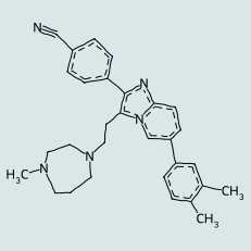 Cc1ccc(-c2ccc3nc(-c4ccc(C#N)cc4)c(CCN4CCCN(C)CC4)n3c2)cc1C